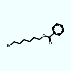 O=C(OCCCCCCBr)c1ccccc1